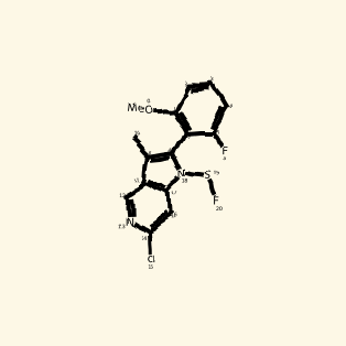 COc1cccc(F)c1-c1c(C)c2cnc(Cl)cc2n1SF